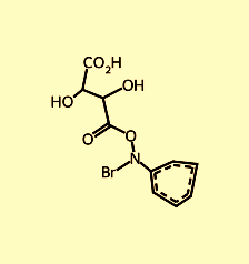 O=C(O)C(O)C(O)C(=O)ON(Br)c1ccccc1